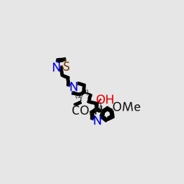 COc1ccc2nccc([C@H](O)CC[C@@H]3CCN(CCCc4nccs4)C[C@H]3CCC(=O)O)c2c1